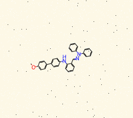 COc1ccc(-c2ccc(Nc3ccccc3C=NN(c3ccccc3)c3ccccc3)cc2)cc1